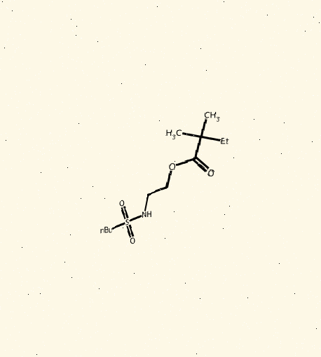 CCCCS(=O)(=O)NCCOC(=O)C(C)(C)CC